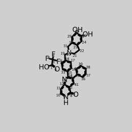 O=C(O)C(F)(F)F.O=c1[nH]ccc2nc(-c3ccc(CN4CCc5cc(O)c(O)cc5C4)cc3)c(-c3ccccc3)cc12